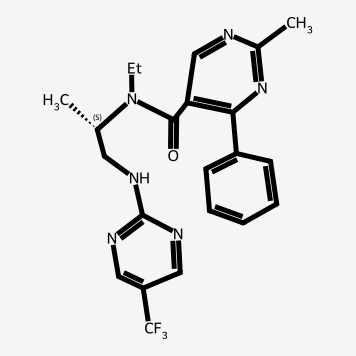 CCN(C(=O)c1cnc(C)nc1-c1ccccc1)[C@@H](C)CNc1ncc(C(F)(F)F)cn1